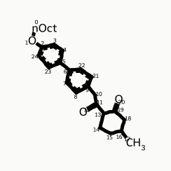 CCCCCCCCOc1ccc(-c2ccc(CC(=O)C3CCC(C)CC3=O)cc2)cc1